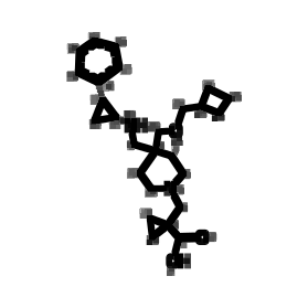 O=C(O)C1(CN2CCC(CN[C@@H]3C[C@@H]3c3ccccc3)(COCC3CCC3)CC2)CC1